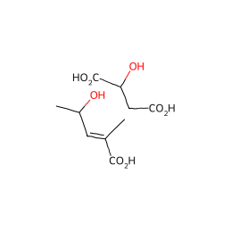 CC(=CC(C)O)C(=O)O.O=C(O)CC(O)C(=O)O